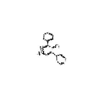 O=c1c(-c2ccccc2)c[nH]nc1-c1ccccc1